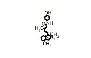 CC(C=CC=C(C)/C=C\C1=C(C)CCCC1(C)C)=CC(=O)Nc1ccc(O)cc1